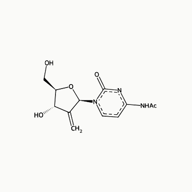 C=C1[C@H](n2ccc(NC(C)=O)nc2=O)O[C@H](CO)[C@H]1O